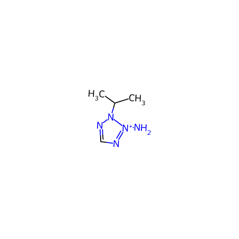 CC(C)n1ncn[n+]1N